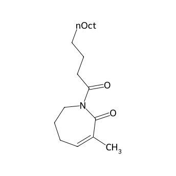 CCCCCCCCCCCC(=O)N1CCCC=C(C)C1=O